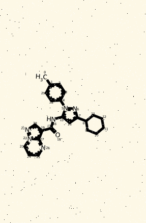 Cc1ccc(-n2nc(C3CCCCC3)cc2NC(=O)c2cnn3cccnc23)cc1